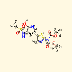 COc1ncc(-c2sc(N(C(=O)OC(C)(C)C)C(=O)OC(C)(C)C)nc2C)cc1NS(=O)(=O)C1CC1